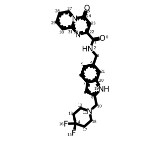 O=C(NCc1ccc2cc(CN3CCC(F)(F)CC3)[nH]c2c1)c1cc(=O)n2ccccc2n1